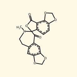 CN1CCc2cc3c(cc2C(=O)C12OC(=O)c1c2ccc2c1OCO2)OCO3